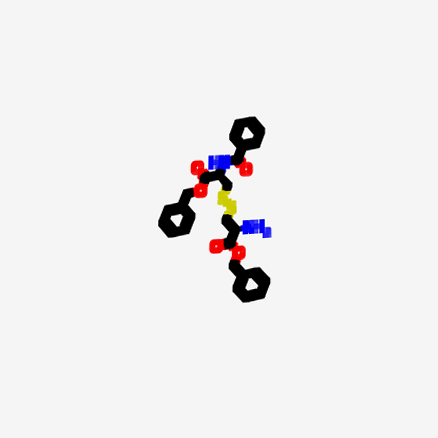 N[C@@H](CSSC[C@H](NC(=O)c1ccccc1)C(=O)OCc1ccccc1)C(=O)OCc1ccccc1